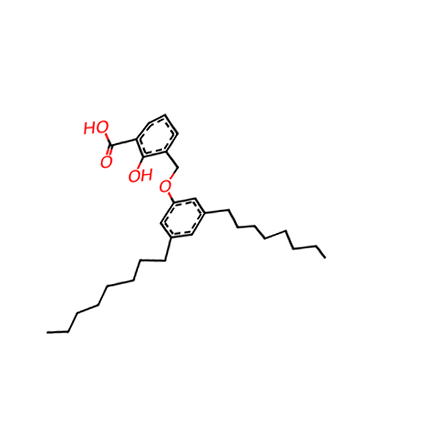 CCCCCCCCc1cc(CCCCCCCC)cc(OCc2cccc(C(=O)O)c2O)c1